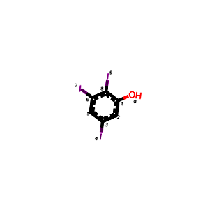 Oc1cc(I)cc(I)c1I